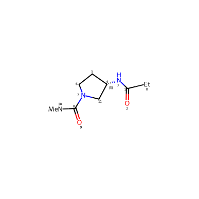 CCC(=O)N[C@H]1CCN(C(=O)NC)C1